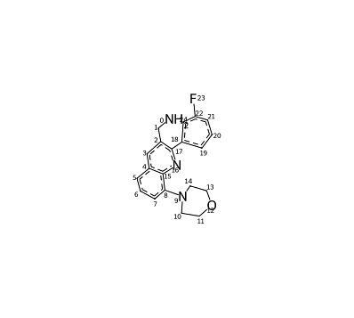 NCc1cc2cccc(N3CCOCC3)c2nc1-c1cccc(F)c1